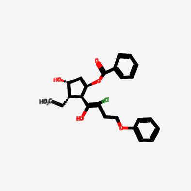 O=C(O)C[C@H]1[C@H](C(O)=C(Cl)CCOc2ccccc2)[C@H](OC(=O)c2ccccc2)C[C@H]1O